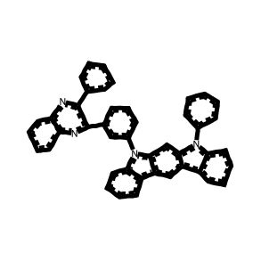 c1ccc(-c2nc3ccccc3nc2-c2cccc(-n3c4ccccc4c4cc5c6ccccc6n(-c6ccccc6)c5cc43)c2)cc1